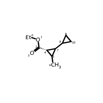 CCOC(=O)[C@H]1C(C)C1C1CC1